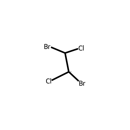 Cl[C](Br)C(Cl)Br